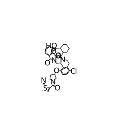 CS1(C#N)C=C1C(=O)N1CCC(Oc2ccc(Cl)c3c2C(CN2C(=O)c4ccccc4C2=O)N(C(=O)C2CCCCC2C(=O)O)CC3)C1